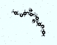 CC1(C)COCC1n1c(Cc2cc(F)c(-c3cccc(OCc4ccc(C(F)F)cc4F)n3)cc2F)nc2ccc(C(=O)OC(=O)c3ccc4nc(Cc5cc(F)c(-c6cccc(OCc7ccc(C(F)F)cc7F)n6)cc5F)n(C5COCC5(C)C)c4c3)cc21